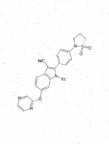 CCn1c(-c2ccc(N3CCCS3(=O)=O)cc2)c(C#N)c2ccc(Oc3cnccn3)cc21